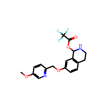 COc1ccc(COc2ccc3c(c2)C(OC(=O)C(F)(F)F)NCC3)nc1